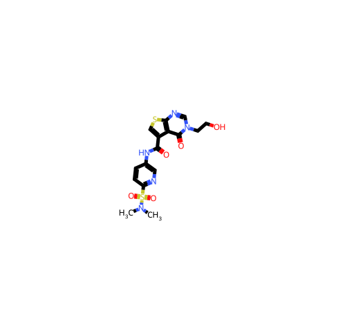 CN(C)S(=O)(=O)c1ccc(NC(=O)c2csc3ncn(CCO)c(=O)c23)cn1